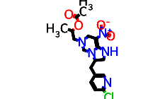 CC(=O)OC(C)CN1CC([N+](=O)[O-])=C2NCC(Cc3ccc(Cl)nc3)N2C1